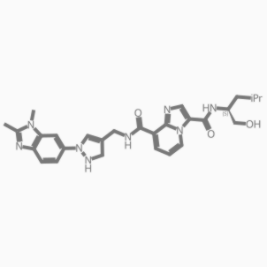 Cc1nc2ccc(N3C=C(CNC(=O)c4cccn5c(C(=O)N[C@H](CO)CC(C)C)cnc45)CN3)cc2n1C